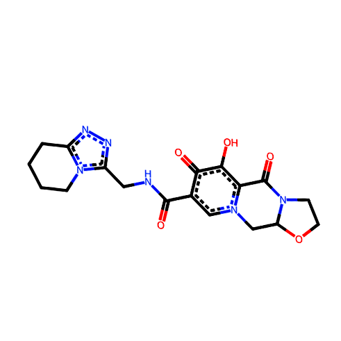 O=C(NCc1nnc2n1CCCC2)c1cn2c(c(O)c1=O)C(=O)N1CCOC1C2